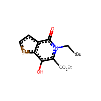 CCOC(=O)c1c(O)c2sccc2c(=O)n1CC(C)(C)C